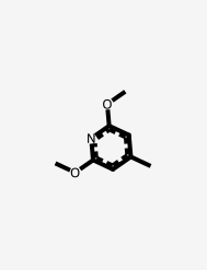 COc1cc(C)cc(OC)n1